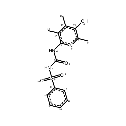 Cc1nc(NC(=O)NS(=O)(=O)c2ccccc2)c(C)c(C)c1O